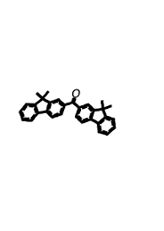 CC1(C)c2ccccc2-c2ccc(C(=O)c3ccc4c(c3)C(C)(C)c3ccccc3-4)cc21